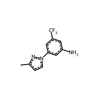 Cc1ccn(-c2cc(N)cc(C(F)(F)F)c2)n1